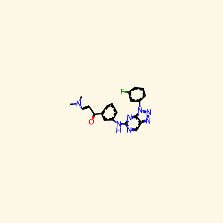 CN(C)/C=C/C(=O)c1cccc(Nc2ncc3nnn(-c4cccc(F)c4)c3n2)c1